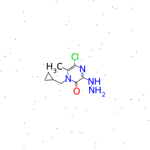 Cc1c(Cl)nc(NN)c(=O)n1CC1CC1